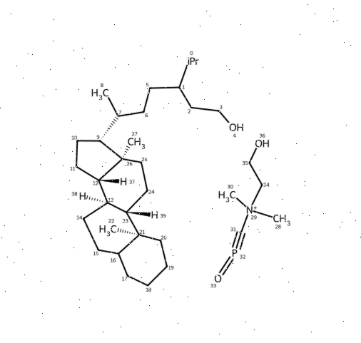 CC(C)C(CCO)CCC(C)[C@H]1CC[C@H]2[C@@H]3CCC4CCCC[C@]4(C)[C@H]3CC[C@]12C.C[N+](C)(C#P=O)CCO